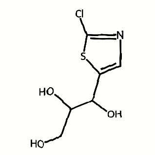 OCC(O)C(O)c1cnc(Cl)s1